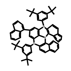 CC(C)(C)c1cc(N2c3cc(-c4cccc5ccccc45)cc4c3B(c3c2ccc2ccccc32)c2c(ccc3ccccc23)N4c2cc(C(C)(C)C)cc(C(C)(C)C)c2)cc(C(C)(C)C)c1